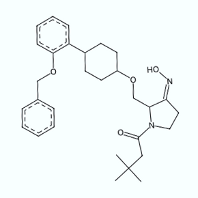 CC(C)(C)CC(=O)N1CC/C(=N/O)C1COC1CCC(c2ccccc2OCc2ccccc2)CC1